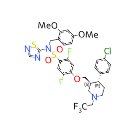 COc1ccc(CN(c2ncns2)S(=O)(=O)c2cc(F)c(OC[C@@H]3CN(CC(F)(F)F)CC[C@H]3c3ccc(Cl)cc3)cc2F)c(OC)c1